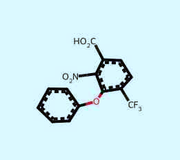 O=C(O)c1ccc(C(F)(F)F)c(Oc2ccccc2)c1[N+](=O)[O-]